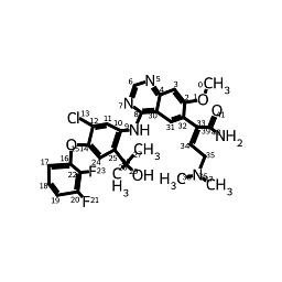 COc1cc2ncnc(Nc3cc(Cl)c(Oc4cccc(F)c4F)cc3C(C)(C)O)c2cc1C(=CCN(C)C)C(N)=O